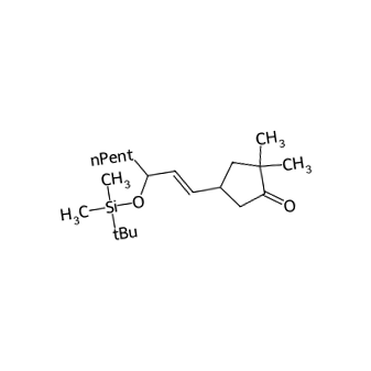 CCCCCC(C=CC1CC(=O)C(C)(C)C1)O[Si](C)(C)C(C)(C)C